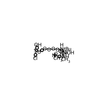 Cc1ncoc1-c1ccc([C@H](C)NC(=O)[C@@H]2C[C@@H](O)CN2C(=O)[C@@H](NC(=O)COCCOCCOCCOc2ccc(Oc3c(-c4ccc(Cl)cc4)sc4cc(O)ccc34)cc2)C(C)(C)C)cc1